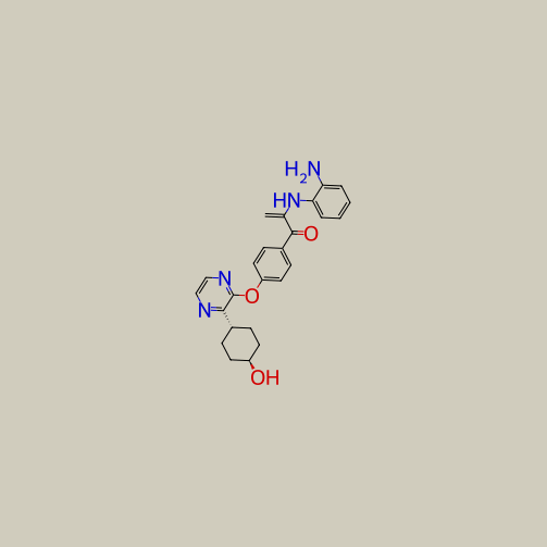 C=C(Nc1ccccc1N)C(=O)c1ccc(Oc2nccnc2[C@H]2CC[C@H](O)CC2)cc1